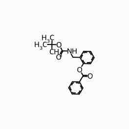 CC(C)(C)OC(=O)NCc1ccccc1OC(=O)c1ccccc1